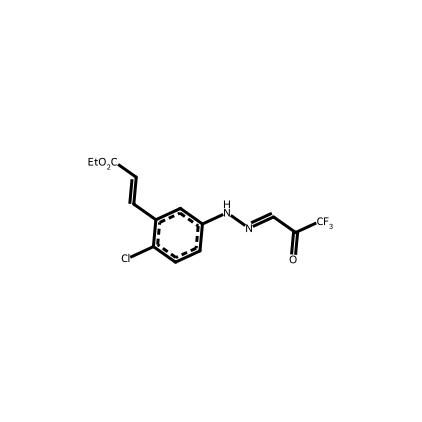 CCOC(=O)C=Cc1cc(NN=CC(=O)C(F)(F)F)ccc1Cl